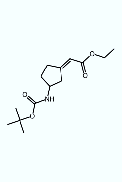 CCOC(=O)C=C1CCC(NC(=O)OC(C)(C)C)C1